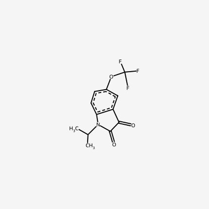 CC(C)N1C(=O)C(=O)c2cc(OC(F)(F)F)ccc21